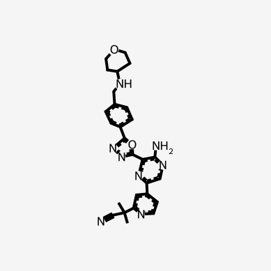 CC(C)(C#N)c1cc(-c2cnc(N)c(-c3nnc(-c4ccc(CNC5CCOCC5)cc4)o3)n2)ccn1